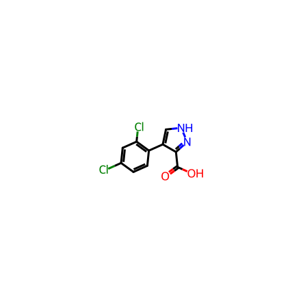 O=C(O)c1n[nH]cc1-c1ccc(Cl)cc1Cl